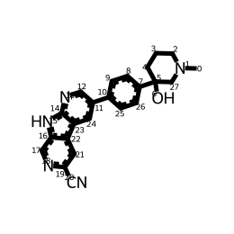 CN1CCCC(O)(c2ccc(-c3cnc4[nH]c5cnc(C#N)cc5c4c3)cc2)C1